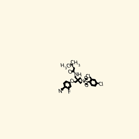 CN(C)CC(=O)NCC1(COc2ccc(C#N)c(F)c2)CN(S(=O)(=O)c2ccc(Cl)cc2Cl)C1